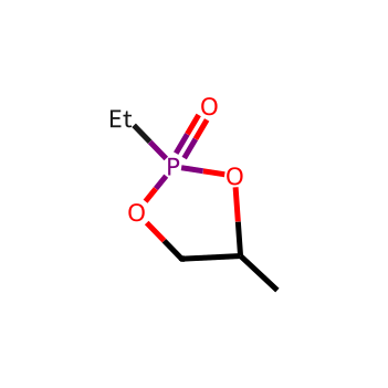 CCP1(=O)OCC(C)O1